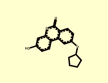 O=c1oc2cc(O)ccc2c2cc(OC3CCCC3)ccc12